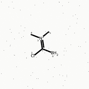 BC(Cl)=[N+](C)C